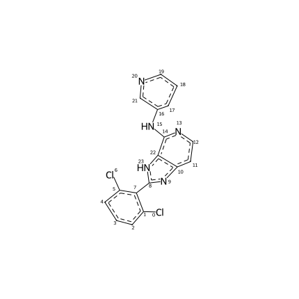 Clc1cccc(Cl)c1-c1nc2ccnc(Nc3cccnc3)c2[nH]1